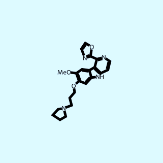 COc1cc2c(cc1OCCCN1CCCC1)[nH]c1ccnc(-c3ncco3)c12